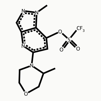 CC1COCCN1c1cc(OS(=O)(=O)C(F)(F)F)c2c(cnn2C)n1